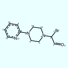 O=CC(Br)N1CCN(c2ccccn2)CC1